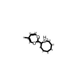 CC1=COC(C2CCCCCC[SiH2]2)OC=C1